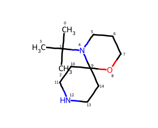 CC(C)(C)N1CCCOC12CCNCC2